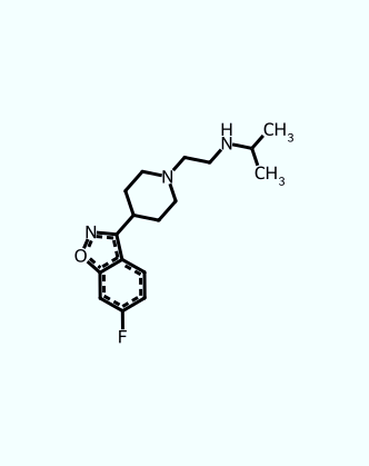 CC(C)NCCN1CCC(c2noc3cc(F)ccc23)CC1